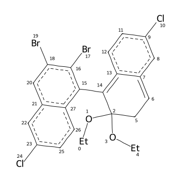 CCOC1(OCC)CC=c2cc(Cl)ccc2=C1c1c(Br)c(Br)cc2cc(Cl)ccc12